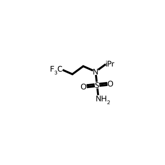 CC(C)N(CCC(F)(F)F)S(N)(=O)=O